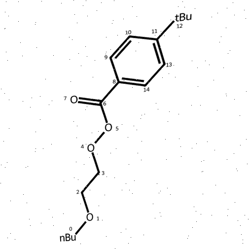 CCCCOC[CH]OOC(=O)c1ccc(C(C)(C)C)cc1